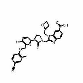 N#Cc1ccc(OCc2nc(N3CCN(Cc4nc5ccc(C(=O)O)cc5n4CC4CCO4)C3=O)ccc2F)c(F)c1